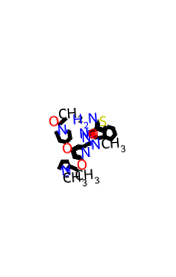 C=CC(=O)N1CCC(Oc2cc(O[C@@H](C)[C@@H]3CCCN3C)nc(-c3noc([C@@]4(C)CCCc5sc(N)c(C#N)c54)n3)c2)CC1